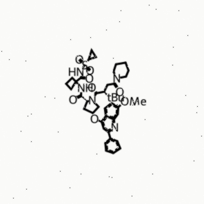 COc1ccc2c(O[C@@H]3C[C@@H](C(=O)NC4(C(=O)NS(=O)(=O)C5CC5)CCC4)N(C(=O)[C@@H](CC(=O)N4CCCCC4)C(C)(C)C)C3)cc(-c3ccccc3)nc2c1